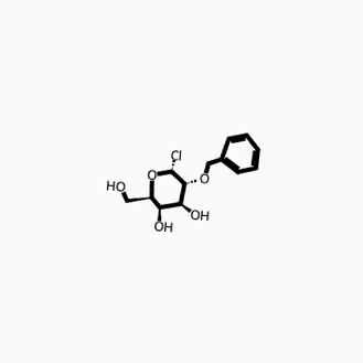 OC[C@H]1O[C@H](Cl)[C@H](OCc2ccccc2)[C@@H](O)[C@H]1O